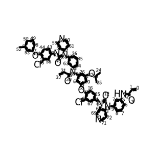 C=CC(=O)Nc1cccc(-n2c(=O)n(-c3ccc(Oc4cc(OC(C)C)cc(N(C(=O)C=C)c5cccc(-n6c(=O)n(-c7ccc(Oc8cccc(C)c8)c(Cl)c7)c7cnccc76)c5)c4)c(Cl)c3)c3cnccc32)c1